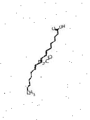 C=O.CCCCCCCCCCCCCCCCCC(=O)O